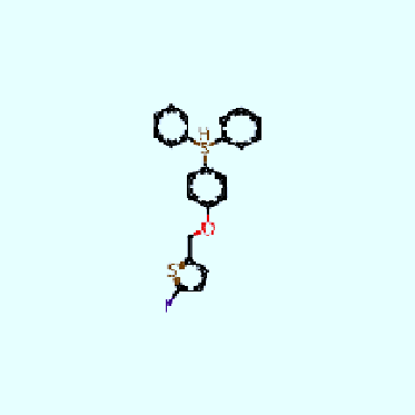 Ic1ccc(COc2ccc([SH](c3ccccc3)c3ccccc3)cc2)s1